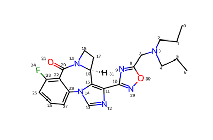 CCCN(CCC)Cc1nc(-c2ncn3c2[C@@H]2CCN2C(=O)c2c(F)cccc2-3)no1